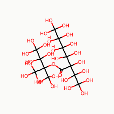 O=C(OC(C(O)(O)O)(C(O)(O)O)C(O)(O)C(O)(O)O)C(O)(C(O)(O)C(O)(O)O)C(O)(O)C(O)(O)C(O)(O)C(O)(O)O